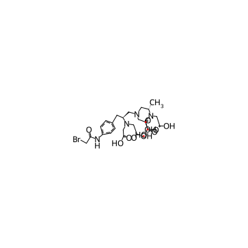 C[C@@H](CN(CC(=O)O)C[C@H](Cc1ccc(NC(=O)CBr)cc1)N(CC(=O)O)CC(=O)O)N(CC(=O)O)CC(=O)O